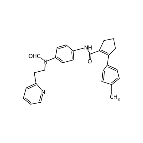 Cc1ccc(C2=C(C(=O)Nc3ccc(N(C=O)CCc4ccccn4)cc3)CCC2)cc1